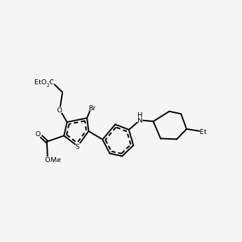 CCOC(=O)COc1c(C(=O)OC)sc(-c2cccc(NC3CCC(CC)CC3)c2)c1Br